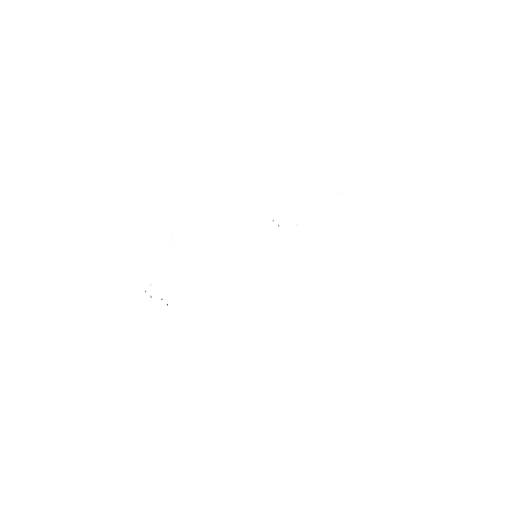 COCC(=O)NC1CCCC(Oc2ccc3[nH]ncc3c2C)C1